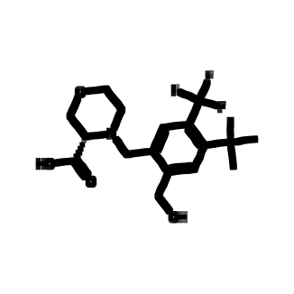 CC(C)(C)c1cc(CO)c(CN2CCOC[C@H]2C(=O)O)cc1C(F)(F)F